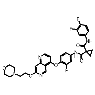 O=C(Nc1ccc(F)c(F)c1)C1(C(=O)Nc2ccc(Oc3ccnc4cc(OCCN5CCOCC5)ncc34)c(F)c2)CC1